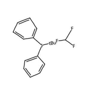 CC(C)(C)I(c1ccccc1)c1ccccc1.FC(F)F